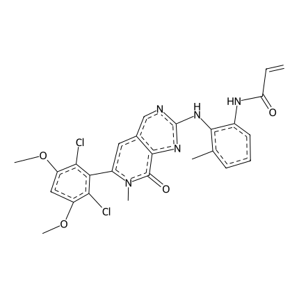 C=CC(=O)Nc1cccc(C)c1Nc1ncc2cc(-c3c(Cl)c(OC)cc(OC)c3Cl)n(C)c(=O)c2n1